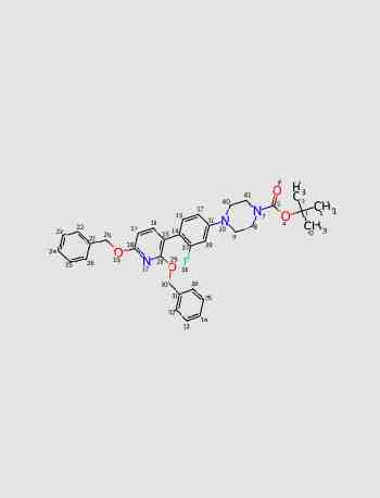 CC(C)(C)OC(=O)N1CCN(c2ccc(-c3ccc(OCc4ccccc4)nc3OCc3ccccc3)c(F)c2)CC1